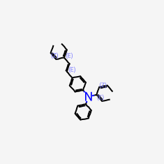 C\C=C/C(/C=C/c1ccc(N(C(/C=C\C)=C/C)c2ccccc2)cc1)=C\C